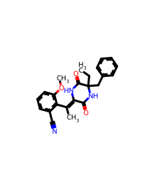 CCC1(Cc2ccccc2)NC(=O)C(=C(C)c2c(C#N)cccc2OC)NC1=O